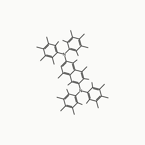 Cc1c(C)c(C)c(N(c2cc(C)c3c(C)c(N(c4c(C)c(C)c(C)c(C)c4C)c4c(C)c(C)c(C)c(C)c4C)c(C)c(C)c3c2C)c2c(C)c(C)c(C)c(C)c2C)c(C)c1C